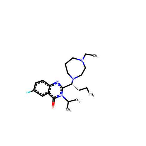 CCC[C@H](c1nc2ccc(F)cc2c(=O)n1C(C)C)N1CCCN(CC)CC1